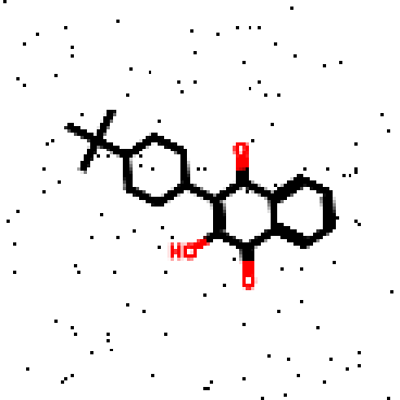 CC(C)(C)C1CCC(C2=C(O)C(=O)c3ccccc3C2=O)CC1